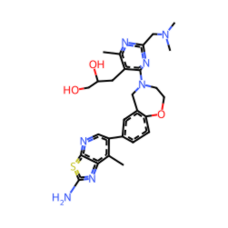 Cc1nc(CN(C)C)nc(N2CCOc3ccc(-c4cnc5sc(N)nc5c4C)cc3C2)c1CC(O)CO